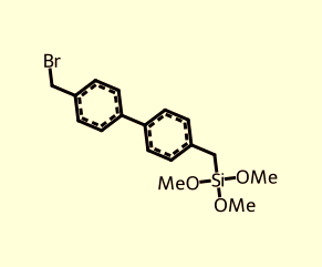 CO[Si](Cc1ccc(-c2ccc(CBr)cc2)cc1)(OC)OC